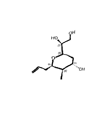 C=CC[C@H]1O[C@@H]([C@@H](O)CO)C[C@H](O)[C@H]1C